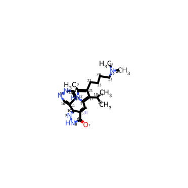 Cc1[nH]c(/C=C2/C(=O)NN=C2c2ccnnc2)c(C(C)C)c1CCCCN(C)C